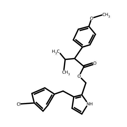 COc1ccc(C(C(=O)OCc2[nH]ccc2Cc2ccc(Cl)cc2)C(C)C)cc1